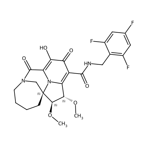 CO[C@@H]1[C@@H](OC)c2c(C(=O)NCc3c(F)cc(F)cc3F)c(=O)c(O)c3n2[C@]12CCCCN(C2)C3=O